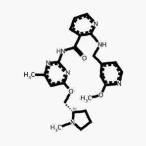 COc1cc(CNc2ncccc2C(=O)Nc2nc(C)cc(OC[C@@H]3CCCN3C)n2)ccn1